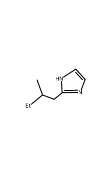 CCC(C)Cc1ncc[nH]1